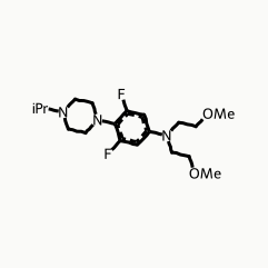 COCCN(CCOC)c1cc(F)c(N2CCN(C(C)C)CC2)c(F)c1